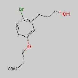 COCCOc1ccc(Br)c(CCCO)c1